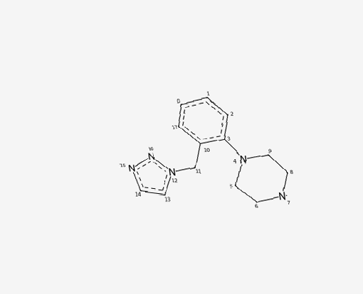 c1ccc(N2CC[N]CC2)c(Cn2ccnn2)c1